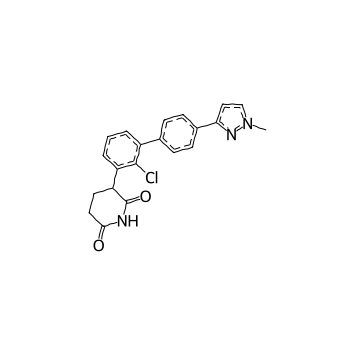 Cn1ccc(-c2ccc(-c3cccc(C4CCC(=O)NC4=O)c3Cl)cc2)n1